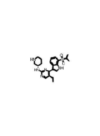 CCc1cnc(N[C@H]2CCCNC2)nc1-c1c[nH]c2c(S(=O)(=O)C(C)C)cccc12